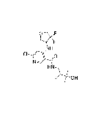 CC(C)(O)C(F)CNC(=O)c1cnc(Cl)cc1NC1COCC1(F)F